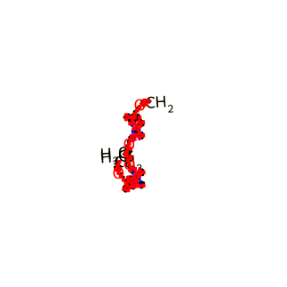 C=Cc1ccc(OCCCCCCC2(c3ccccc3)c3ccccc3-c3ccc(N(c4ccccc4)c4ccc5c(c4)c4ccccc4n5-c4ccc(COCc5ccc6c(c5)C(C)(C)c5cc(COCc7ccc(-n8c9ccccc9c9cc(N(c%10ccccc%10)c%10ccc%11c(c%10)C(CCCCCCOc%10ccc(C=C)cc%10)(c%10ccccc%10)c%10ccccc%10-%11)ccc98)cc7)ccc5-6)cc4)cc32)cc1